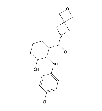 N#CC1[CH]CCC(C(=O)N2CC3(COC3)C2)C1Nc1ccc(Cl)cc1